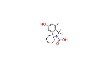 Cc1cc(O)cc2c1C(C)(C)N(C(=O)O)C21CCCCC1